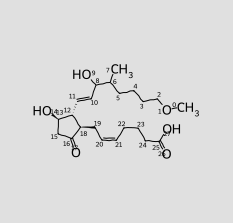 COCCCCC(C)C(O)/C=C/[C@H]1[C@H](O)CC(=O)[C@@H]1C/C=C\CCCC(=O)O